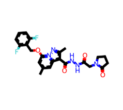 Cc1cc(OCc2c(F)cccc2F)n2nc(C)c(C(=O)NNC(=O)CN3CCCC3=O)c2c1